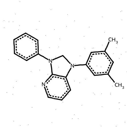 Cc1cc(C)cc(N2CN(c3ccccc3)c3ncccc32)c1